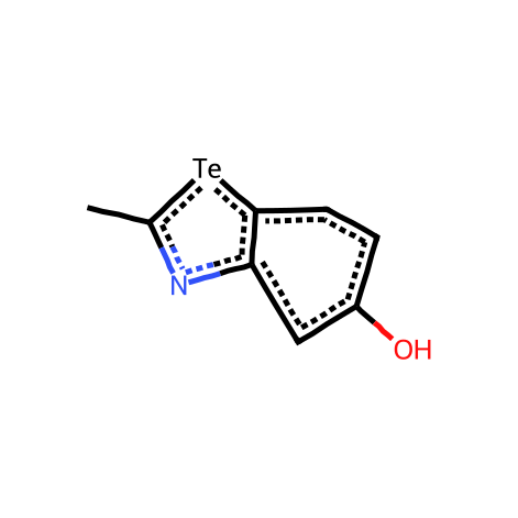 Cc1nc2cc(O)ccc2[te]1